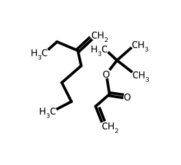 C=C(CC)CCCC.C=CC(=O)OC(C)(C)C